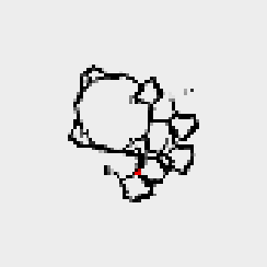 Brc1ccccc1-c1c(-c2ccccc2Br)c2c(-c3ccccc3Br)c3nc(cc4ccc(cc5nc(cc1n2-c1ccccc1Br)C=C5)[nH]4)C=C3.[Fe]